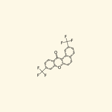 O=c1c2ccc(C(F)(F)F)cc2oc2ccc3ccc(C(F)(F)F)cc3c12